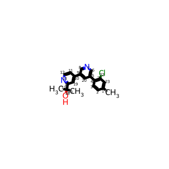 Cc1ccc(-c2cncc(-c3ccnc(C(C)(C)O)c3)c2)c(Cl)c1